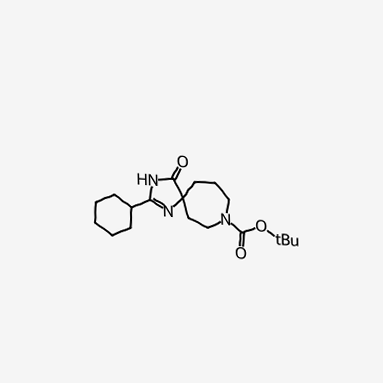 CC(C)(C)OC(=O)N1CCCC2(CC1)N=C(C1CCCCC1)NC2=O